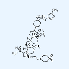 C=C(C)[C@@H]1CC[C@]2(NCCN3CCS(=O)(=O)CC3)CC[C@]3(C)[C@H](CC[C@@H]4[C@@]5(C)CC=C(C6=CCC(COc7cc(C)sn7)(C(=O)OCC)CC6)C(C)(C)[C@@H]5CC[C@]43C)[C@@H]12